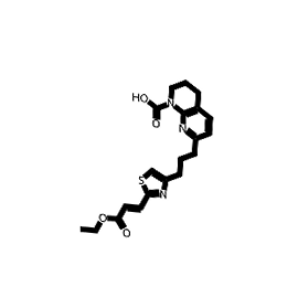 CCOC(=O)/C=C/c1nc(CCCc2ccc3c(n2)N(C(=O)O)CCC3)cs1